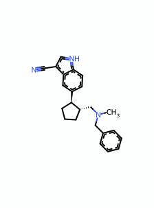 CN(Cc1ccccc1)C[C@@H]1CCC[C@H]1c1ccc2[nH]cc(C#N)c2c1